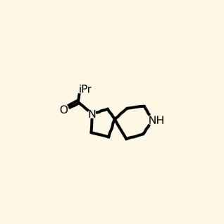 CC(C)C(=O)N1CCC2(CCNCC2)C1